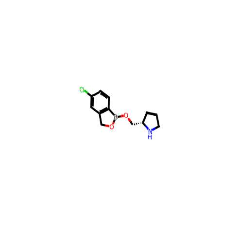 Clc1ccc2c(c1)COB2OC[C@@H]1CCCN1